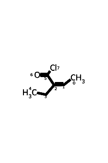 CC=C(CC)C(=O)Cl